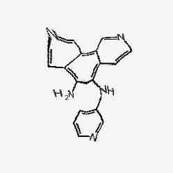 Nc1c(Nc2cccnc2)c2ccncc2c2cnccc12